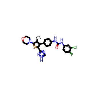 N#Cc1c(N2CCOCC2)sc(-c2nc[nH]n2)c1-c1ccc(NC(=O)Nc2ccc(F)c(Cl)c2)cc1